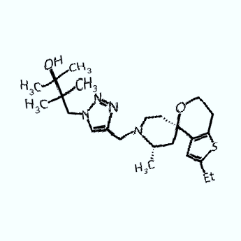 CCc1cc2c(s1)CCO[C@@]21CCN(Cc2cn(CC(C)(C)C(C)(C)O)nn2)[C@@H](C)C1